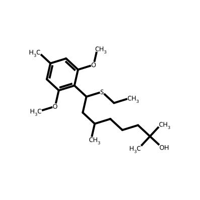 CCSC(CC(C)CCCC(C)(C)O)c1c(OC)cc(C)cc1OC